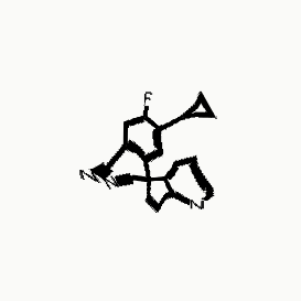 N#Cc1cc(F)c(C2CC2)cc1C1(C#N)CCc2ncccc21